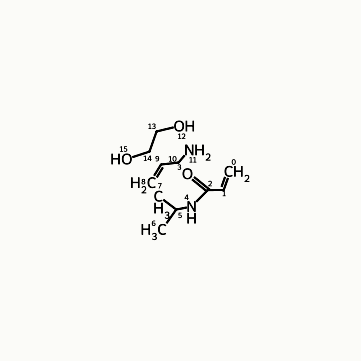 C=CC(=O)NC(C)C.C=CCN.OCCO